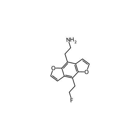 NCCc1c2ccoc2c(CCF)c2ccoc12